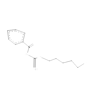 N=C(NCCCCCC(=O)O)NC(=O)c1ccccc1